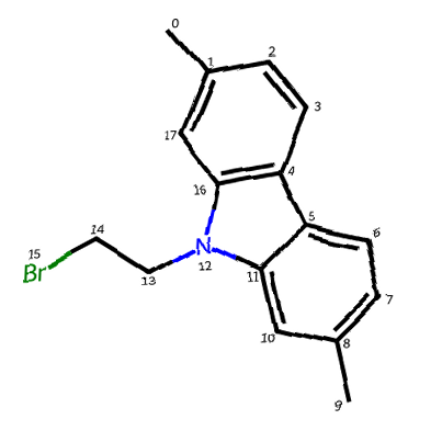 Cc1ccc2c3ccc(C)cc3n(CCBr)c2c1